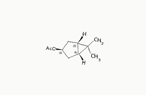 CC(=O)O[C@@H]1C[C@@H]2[C@H](C1)C2(C)C